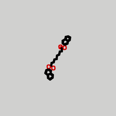 O=C(CCCCCCCCC(=O)Oc1ccc2ccccc2c1)Oc1ccc2ccccc2c1